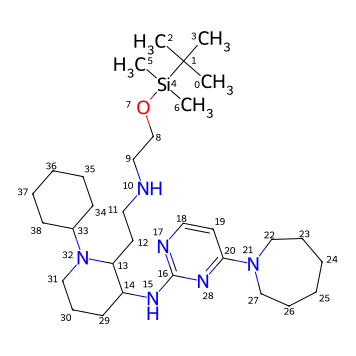 CC(C)(C)[Si](C)(C)OCCNCCC1C(Nc2nccc(N3CCCCCC3)n2)CCCN1C1CCCCC1